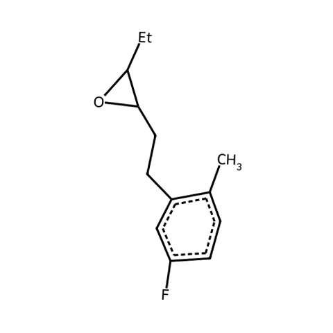 CCC1OC1CCc1cc(F)ccc1C